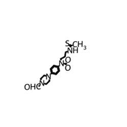 CC(=S)NCC1CN(c2ccc(N3CCN(C=O)CC3)cc2)C(=O)O1